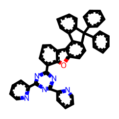 c1ccc(C2(c3ccccc3)c3ccccc3-c3c2ccc2oc4c(-c5nc(-c6ccccn6)nc(-c6ccccn6)n5)cccc4c32)cc1